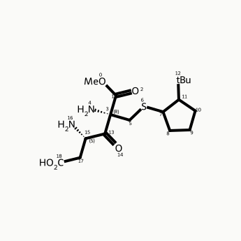 COC(=O)[C@@](N)(CSC1CCCC1C(C)(C)C)C(=O)[C@@H](N)CC(=O)O